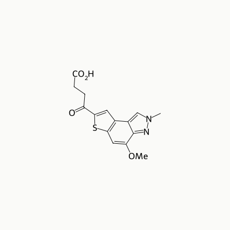 COc1cc2sc(C(=O)CCC(=O)O)cc2c2cn(C)nc12